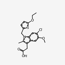 CCOc1ccc(Cn2c(C)c(CC(=O)O)c3cc(OC)c(Cl)cc32)s1